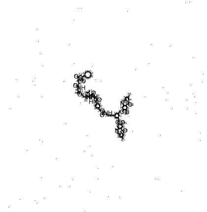 COc1cc2c(cc1OCc1cc(C#CCNC(=O)OCc3ccc(NC(=O)[C@H](C)NC(=O)C(NC(C)(C)CCOC(C)(C)CNC(=O)CCN4C(=O)CC(C5CCCCCCC5)C4=O)C(C)C)cc3)cc(COc3cc4c(cc3OC)C(=O)N3C=C(C)CC3C=N4)c1)N=CC1CC(C)=CN1C2=O